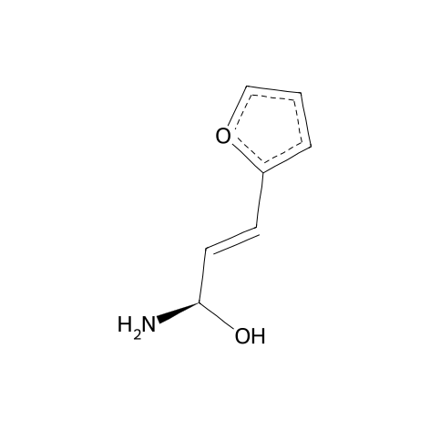 N[C@H](O)/C=C/c1ccco1